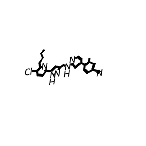 CCCCc1nc(-c2cc(CNc3cc(-c4ccc(C#N)cc4C)ccn3)n[nH]2)ccc1Cl